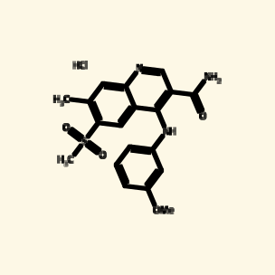 COc1cccc(Nc2c(C(N)=O)cnc3cc(C)c(S(C)(=O)=O)cc23)c1.Cl